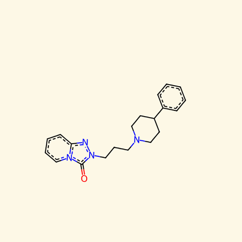 O=c1n(CCCN2CCC(c3ccccc3)CC2)nc2ccccn12